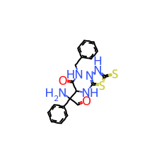 NC(C=O)(c1ccccc1)C(Nc1n[nH]c(=S)s1)C(=O)NCc1ccccc1